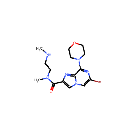 CNCCN(C)C(=O)c1cn2cc(Br)nc(N3CCOCC3)c2n1